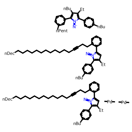 CCCCCCCCCCCCCCCCCCCCCCC#CCCc1ccccc1C1=CC(CC)=C(c2ccc(CCCC)cc2)[N+]1=[N-].CCCCCCCCCCCCCCCCCCCCCCC#CCCc1ccccc1C1=CC(CC)=C(c2ccc(CCCC)cc2)[N+]1=[N-].CCCCCc1cccc(C2=C(CCCC)C(CC)=C(c3ccc(CCCC)cc3)[N+]2=[N-])c1.[CH3][Pd][CH3].[CH3][Pd][CH3]